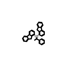 C[C](c1ccccc1)=[Hf]([c]1cccc2c1Cc1ccccc1-2)[c]1cccc2c1Cc1ccccc1-2